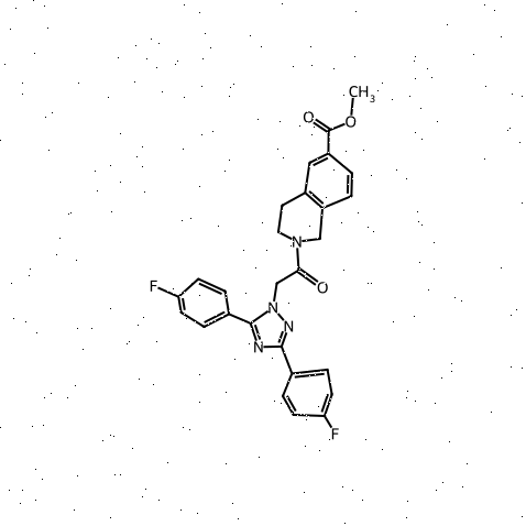 COC(=O)c1ccc2c(c1)CCN(C(=O)Cn1nc(-c3ccc(F)cc3)nc1-c1ccc(F)cc1)C2